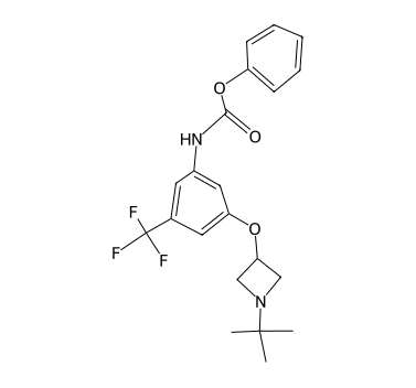 CC(C)(C)N1CC(Oc2cc(NC(=O)Oc3ccccc3)cc(C(F)(F)F)c2)C1